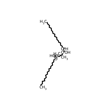 CCCCCCCCCCCCCCCCCCOPC(O)OCC(C)(C)COP(O)OCCCCCCCCCCCCCCCCCC